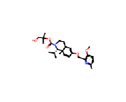 COc1ccc(C)nc1COC1=CC2CCN(C(=O)OC(C)(C)CO)[C@@H](C(C)C)C2(C)C=C1